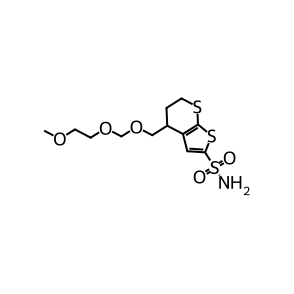 COCCOCOCC1CCSc2sc(S(N)(=O)=O)cc21